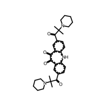 CC(C)(C(=O)c1ccc2[nH]c3ccc(C(=O)C(C)(C)N4CCCCC4)cc3c(=O)c(=O)c2c1)N1CCCCC1